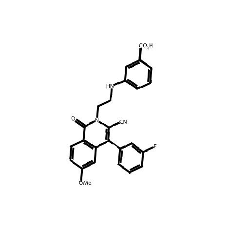 COc1ccc2c(=O)n(CCNc3cccc(C(=O)O)c3)c(C#N)c(-c3cccc(F)c3)c2c1